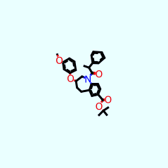 COc1cccc(OC2CCc3cc(C(=O)OC(C)(C)C)ccc3N(C(=O)C(C)c3ccccc3)C2)c1